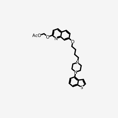 CC(=O)OCOc1ccc2ccc(OCCCCN3CCN(c4cccc5sccc45)CC3)cc2n1